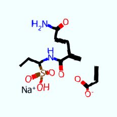 C=C(C=CC(N)=O)C(=O)NC(CC)S(=O)(=O)O.C=CC(=O)[O-].[Na+]